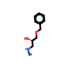 CC(C)NC[C@H](O)COCc1ccccc1